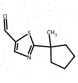 CC1(c2ncc(C=O)s2)CCCC1